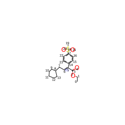 CCOC(=O)/C(=C/CC1CCCCC1)c1ccc(S(C)(=O)=O)cc1